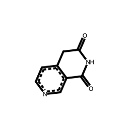 O=C1Cc2ccncc2C(=O)N1